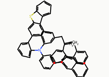 C=C(Cc1cccc(N(c2cccc(-c3ccc4ccccc4c3)c2)c2ccccc2-c2ccc3c(c2)sc2ccccc23)c1)c1ccccc1-c1ccccc1C